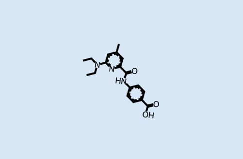 CCN(CC)c1cc(C)cc(C(=O)Nc2ccc(C(=O)O)cc2)n1